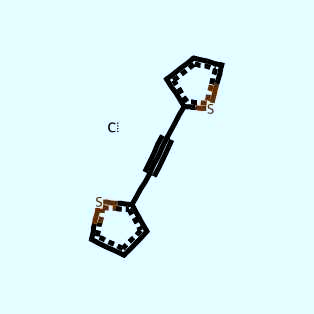 C(#Cc1cccs1)c1cccs1.[C]